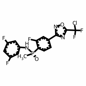 CP(=O)(Nc1cc(F)cc(F)c1)c1ccc(-c2noc(C(F)(F)Cl)n2)cc1F